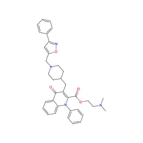 CN(C)CCOC(=O)c1c(CC2CCN(Cc3cc(-c4ccccc4)no3)CC2)c(=O)c2ccccc2n1-c1ccccc1